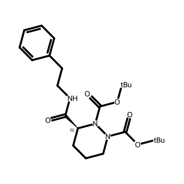 CC(C)(C)OC(=O)N1CCC[C@@H](C(=O)NCCc2ccccc2)N1C(=O)OC(C)(C)C